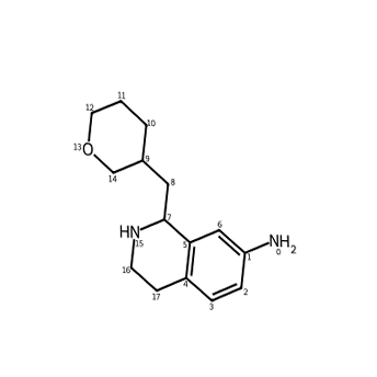 Nc1ccc2c(c1)C(CC1CCCOC1)NCC2